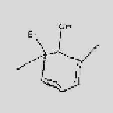 CC1=CC=CC(C)(Br)C1O